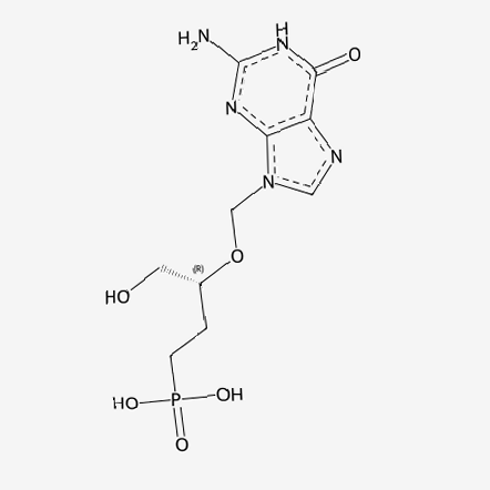 Nc1nc2c(ncn2CO[C@@H](CO)CCP(=O)(O)O)c(=O)[nH]1